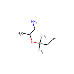 CC(C)C[Si](C)(C)OC(C)CN